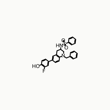 O=S(=O)(NC1Cc2cc(-c3ccc(O)c(F)c3)ccc2N(Cc2ccccc2)C1)c1ccccc1